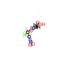 CS(=O)(=O)N1CCN(c2ccc(-c3cc(COc4cc5c(cn4)[C@H]4[C@@H](C5)[C@@H]4C(=O)O)c(F)cc3C(F)(F)F)c(F)c2)CC1